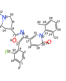 Cc1ccc(-c2oc(C3CCN(C)CC3)nc2-c2ccc(=O)n(-c3c(C)cccc3C)c2)c(F)c1